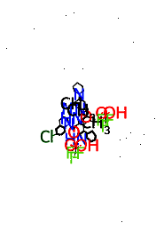 CC(c1c[nH]c2ccccc12)C(NC(=O)N1CCC(N2CCCCC2)CC1)C(=O)N1C[C@@H](CN(C)C)Cc2cc(Cl)ccc21.O=C(O)C(F)(F)F.O=C(O)C(F)(F)F